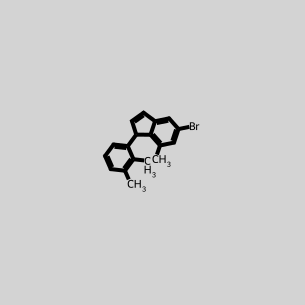 Cc1cccc(C2C=Cc3cc(Br)cc(C)c32)c1C